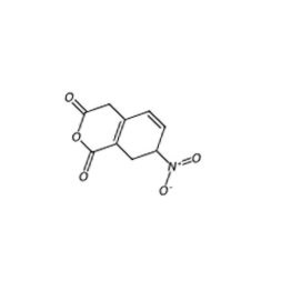 O=C1CC2=C(CC([N+](=O)[O-])C=C2)C(=O)O1